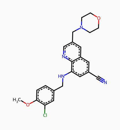 COc1ccc(CNc2cc(C#N)cc3cc(CN4CCOCC4)cnc23)cc1Cl